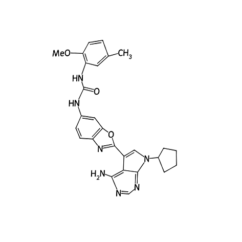 COc1ccc(C)cc1NC(=O)Nc1ccc2nc(-c3cn(C4CCCC4)c4ncnc(N)c34)oc2c1